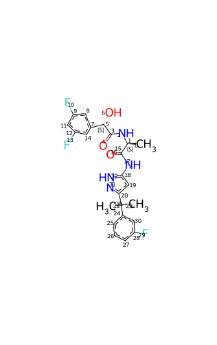 C[C@H](NC(=O)[C@@H](O)c1cc(F)cc(F)c1)C(=O)Nc1cc(C(C)(C)c2cccc(F)c2)n[nH]1